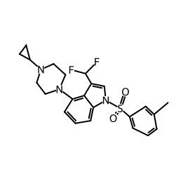 Cc1cccc(S(=O)(=O)n2cc(C(F)F)c3c(N4CCN(C5CC5)CC4)cccc32)c1